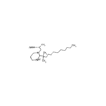 CCCCCCCCCC[Si](C)(C)C1NCCCN1CC(C)C#N